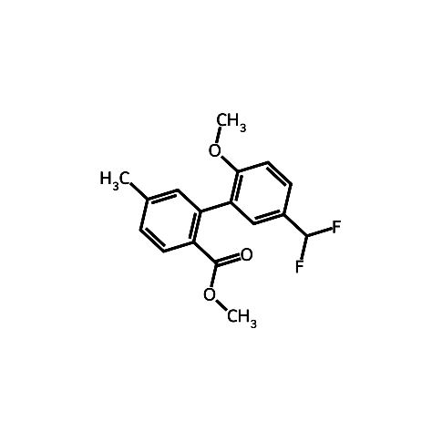 COC(=O)c1ccc(C)cc1-c1cc(C(F)F)ccc1OC